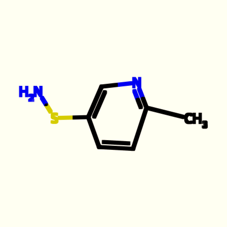 Cc1ccc(SN)cn1